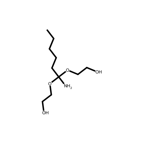 CCCCCC(N)(OCCO)OCCO